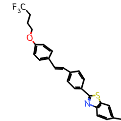 Cc1ccc2nc(-c3ccc(/C=C/c4ccc(OCCCC(F)(F)F)cc4)cc3)sc2c1